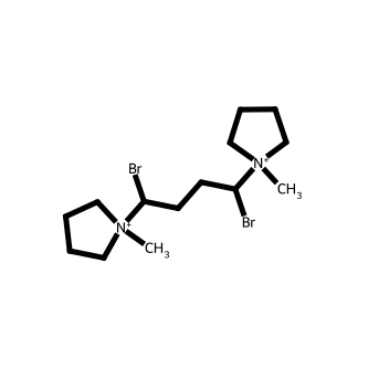 C[N+]1(C(Br)CCC(Br)[N+]2(C)CCCC2)CCCC1